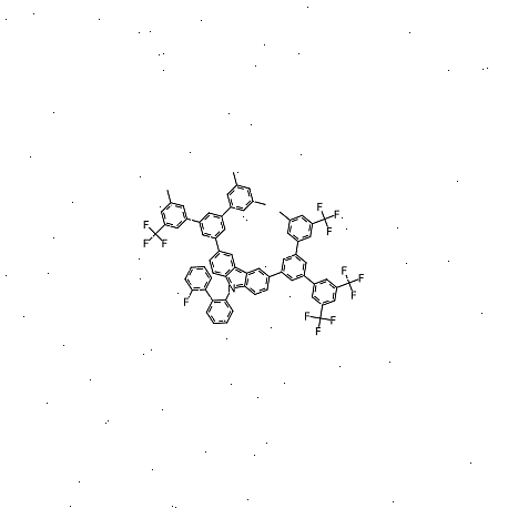 Cc1cc(C)cc(-c2cc(-c3cc(C)cc(C(F)(F)F)c3)cc(-c3ccc4c(c3)c3cc(-c5cc(-c6cc(C)cc(C(F)(F)F)c6)cc(-c6cc(C(F)(F)F)cc(C(F)(F)F)c6)c5)ccc3n4-c3ccccc3-c3ccccc3F)c2)c1